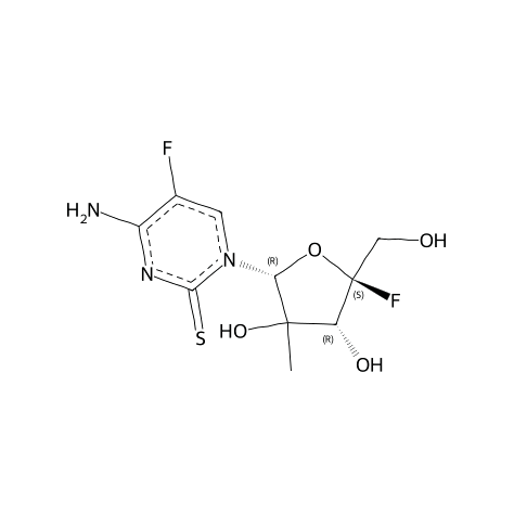 CC1(O)[C@@H](O)[C@@](F)(CO)O[C@H]1n1cc(F)c(N)nc1=S